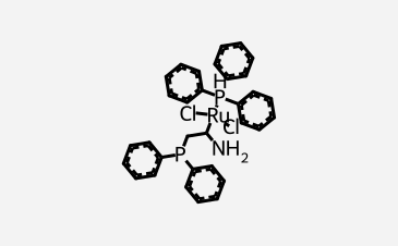 N[CH](CP(c1ccccc1)c1ccccc1)[Ru]([Cl])([Cl])[PH](c1ccccc1)(c1ccccc1)c1ccccc1